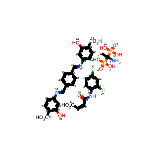 CC(N)(P(=O)(O)O)P(=O)(O)O.O=C(O)/C=C\C(=O)Nc1ccc(Cl)cc1Cl.O=C(O)c1ccc(N=Cc2ccc(C=Nc3ccc(C(=O)O)c(O)c3)cc2)cc1O